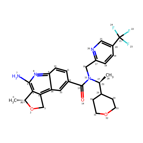 C[C@H]1OCc2c1c(N)nc1ccc(C(=O)N(Cc3ccc(C(F)(F)F)cn3)[C@@H](C)C3CCOCC3)cc21